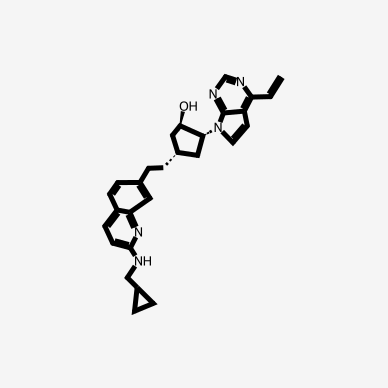 C=Cc1ncnc2c1ccn2[C@@H]1C[C@H](CCc2ccc3ccc(NCC4CC4)nc3c2)C[C@H]1O